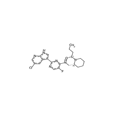 CCC[S+]([O-])N1CCCC[C@@H]1CNc1nc(-c2c[nH]c3ncc(Cl)cc23)ncc1F